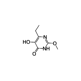 CCc1nc(OC)[nH]c(=O)c1O